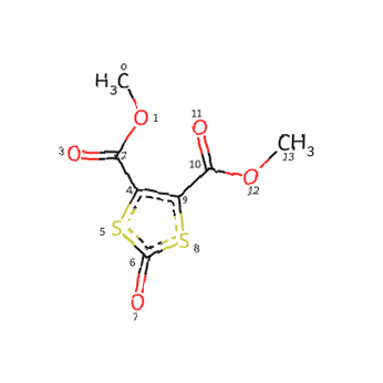 COC(=O)c1sc(=O)sc1C(=O)OC